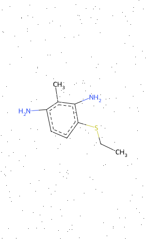 CCSc1ccc(N)c(C)c1N